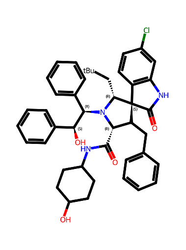 CC(C)(C)C[C@H]1N([C@H](c2ccccc2)[C@@H](O)c2ccccc2)[C@@H](C(=O)NC2CCC(O)CC2)C(Cc2ccccc2)[C@@]12C(=O)Nc1cc(Cl)ccc12